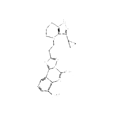 COc1cccc2c1nc(N)n1nc(CCN3CCCc4[nH]nc(C5CC5)c43)nc21